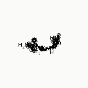 NS(=O)(=O)c1ccc(N[C@H](CCN2CCN(CCCCNc3ccc4c(c3)C(=O)N(C3CCC(=O)NC3=O)C4=O)CC2)CSc2ccccc2)c(S(=O)(=O)C(F)(F)F)c1